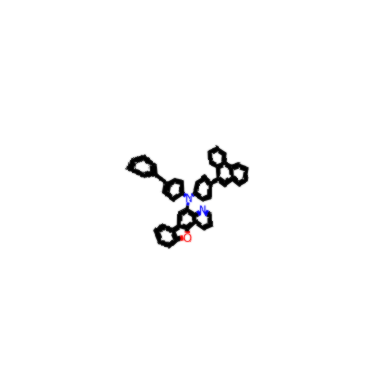 c1ccc(-c2ccc(N(c3ccc(-c4cc5ccccc5c5ccccc45)cc3)c3cc4c5ccccc5oc4c4cccnc34)cc2)cc1